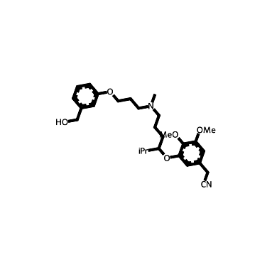 COc1cc(CC#N)cc(OC(CCCN(C)CCCOc2cccc(CO)c2)C(C)C)c1OC